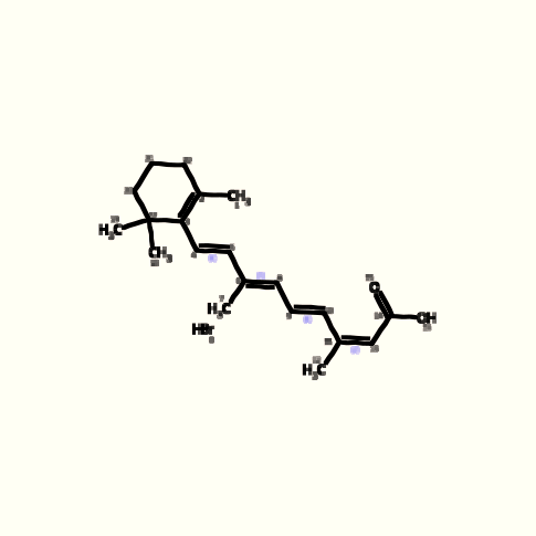 Br.CC1=C(/C=C/C(C)=C/C=C/C(C)=C\C(=O)O)C(C)(C)CCC1